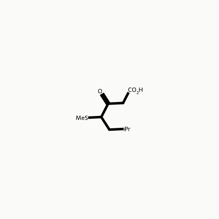 CSC(CC(C)C)C(=O)CC(=O)O